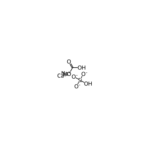 O=C(O)O.[Ca+2].[Na+].[O-][Si]([O-])([O-])O